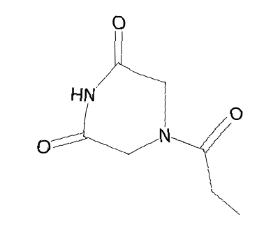 CCC(=O)N1CC(=O)NC(=O)C1